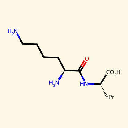 CCC[C@H](NC(=O)[C@@H](N)CCCCN)C(=O)O